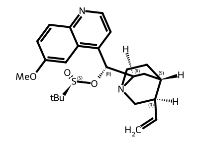 C=C[C@H]1CN2CC[C@H]1C[C@@H]2[C@H](O[S@](=O)C(C)(C)C)c1ccnc2ccc(OC)cc12